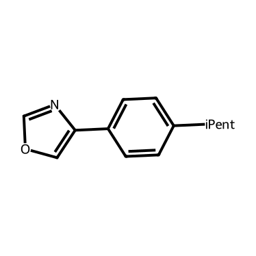 CCCC(C)c1ccc(-c2cocn2)cc1